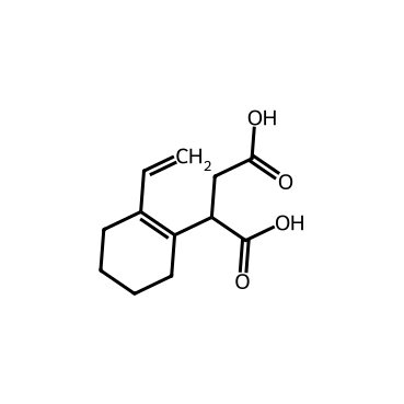 C=CC1=C(C(CC(=O)O)C(=O)O)CCCC1